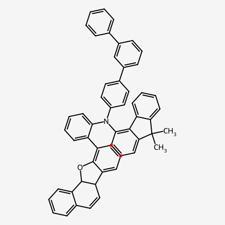 CC1(C)c2ccccc2-c2c(N(c3ccc(-c4cccc(-c5ccccc5)c4)cc3)c3ccccc3-c3cccc4c3OC3c5ccccc5C=CC43)cccc21